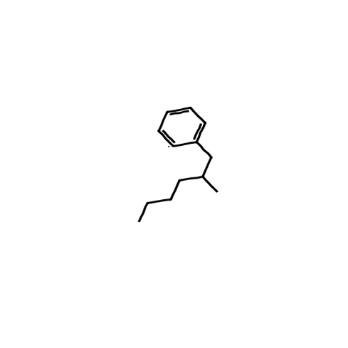 CCCCC(C)Cc1[c]cccc1